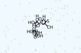 C#Cc1cn([C@@H]2O[C@](F)(COP(=O)(O)OP(=O)(O)O)[C@@H](O)[C@H]2O)c(=O)[nH]c1=S